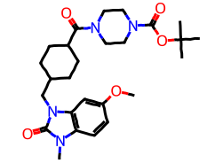 COc1ccc2c(c1)n(CC1CCC(C(=O)N3CCN(C(=O)OC(C)(C)C)CC3)CC1)c(=O)n2C